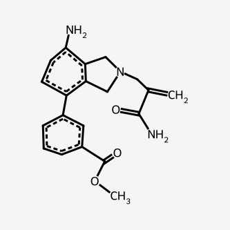 C=C(CN1Cc2c(N)ccc(-c3cccc(C(=O)OC)c3)c2C1)C(N)=O